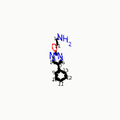 NCCOc1ncc(-c2ccccc2)cn1